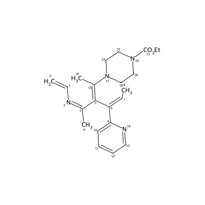 C=C\N=C(C)/C(C(=C\C)/c1ccccn1)=C(\C)N1CCN(C(=O)OCC)CC1